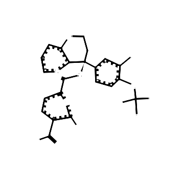 O=C(N[C@]1(c2ccc(OC(F)(F)F)c(F)c2)CCOc2cccnc21)c1ccc(C(=O)O)c(F)c1